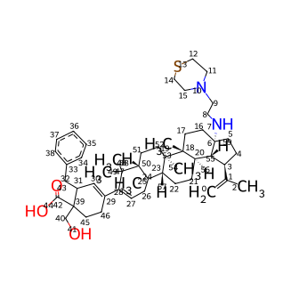 C=C(C)[C@@H]1CC[C@]2(NCCN3CCSCC3)CC[C@]3(C)[C@H](CC[C@@H]4[C@@]5(C)CC=C(C6=CC(Cc7ccccc7)C(CO)(C(=O)O)CC6)C(C)(C)[C@@H]5CC[C@]43C)[C@@H]12